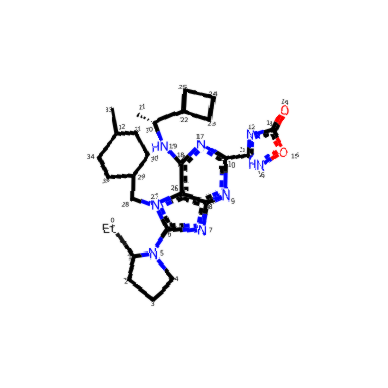 CCC1CCCN1c1nc2nc(-c3nc(=O)o[nH]3)nc(N[C@H](C)C3CCC3)c2n1CC1CCC(C)CC1